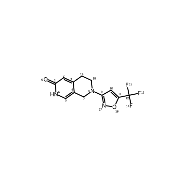 O=c1cc2c(c[nH]1)CN(c1cc(C(F)(F)F)on1)CC2